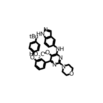 CC(C)(C)c1ccc(Oc2cccc(-c3nc(N4CCOCC4)nc(Nc4ccc5[nH]ncc5c4)c3OC(=O)O)c2)cc1